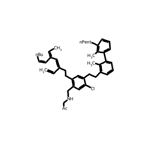 C=C\C(=C/C(/C=C\CCCC)=C\C)CCc1cc(CCc2cccc(-c3cccc(CCCCC)c3C)c2C)c(Cl)cc1CNCC(C)=O